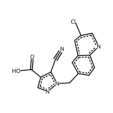 N#Cc1c(C(=O)O)cnn1Cc1ccc2ncc(Cl)cc2c1